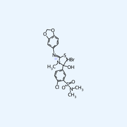 Br.CN1/C(=N/c2ccc3c(c2)OCO3)SCC1(O)c1ccc(Cl)c(S(=O)(=O)N(C)C)c1